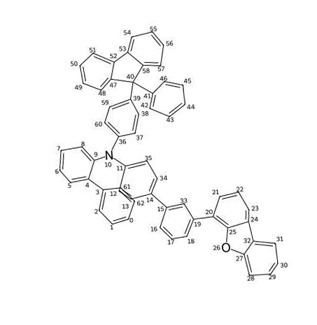 c1ccc(-c2ccccc2N(c2ccc(-c3cccc(-c4cccc5c4oc4ccccc45)c3)cc2)c2ccc(C3(c4ccccc4)c4ccccc4-c4ccccc43)cc2)cc1